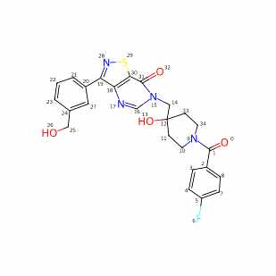 O=C(c1ccc(F)cc1)N1CCC(O)(Cn2cnc3c(-c4cccc(CO)c4)nsc3c2=O)CC1